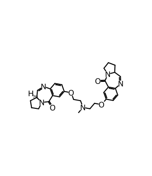 CN(CCOc1ccc2c(c1)C(=O)N1CCCC1C=N2)CCOc1ccc2c(c1)C(=O)N1CCC[C@H]1C=N2